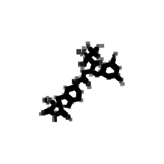 CN1C(=O)NC(=O)[C@@]12Cc1ccc(NC(=O)CN(Cc3cc(F)cc(F)c3)C(=O)[C@@](C)(O)C(F)(F)F)cc1C2